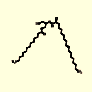 CCCCCCCCC=CCCCCCCCC(=O)POC(CO)COC(=O)CCCCCCCCCCCCC